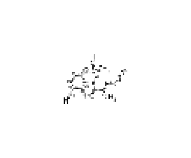 CC(=NCC#N)N(C)C1CC(C)(C)Oc2ccc(C#N)cc21